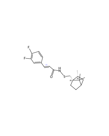 C[C@@H]1CC2CC[C@]1(CSNC(=O)/C=C/c1ccc(F)c(F)c1)C2(C)C